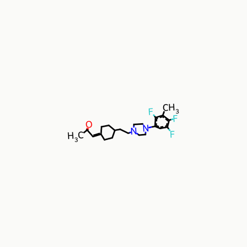 CC(=O)C=C1CCC(CCN2CCN(c3cc(F)c(F)c(C)c3F)CC2)CC1